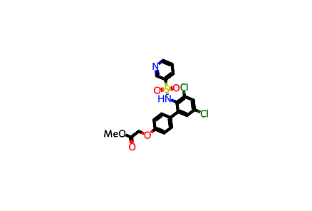 COC(=O)COc1ccc(-c2cc(Cl)cc(Cl)c2NS(=O)(=O)c2cccnc2)cc1